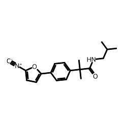 [C-]#[N+]c1ccc(-c2ccc(C(C)(C)C(=O)NCC(C)C)cc2)o1